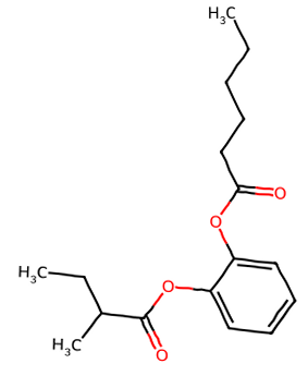 CCCCCC(=O)Oc1ccccc1OC(=O)C(C)CC